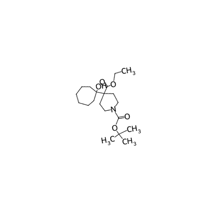 CCOC(=O)C1(C2(O)CCCCCC2)CCN(C(=O)OC(C)(C)C)CC1